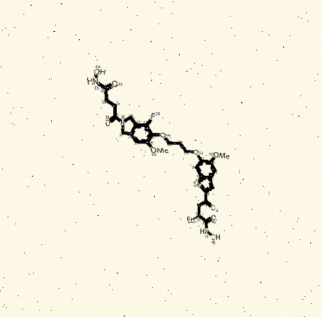 CC[C@@H](CC(=O)c1cc2cc(OC)c(OCCCOc3c(OC)cc4c(c3F)CN(C(=O)CCC(=O)NO)C4)cc2[se]1)C(=O)NO